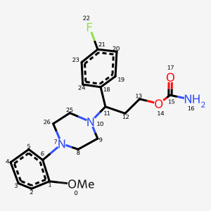 COc1ccccc1N1CCN(C(CCOC(N)=O)c2ccc(F)cc2)CC1